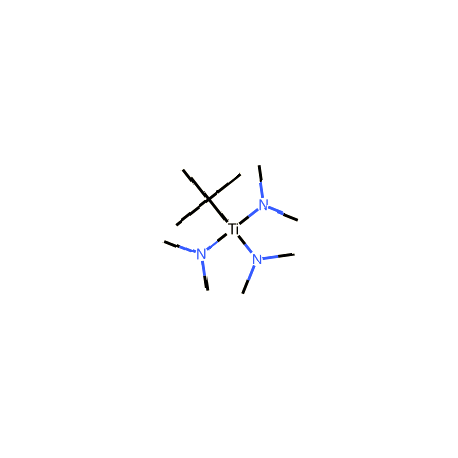 C[N](C)[Ti]([N](C)C)([N](C)C)[C](C)(C)C